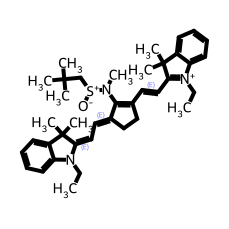 CCN1/C(=C/C=C2\CCC(/C=C/C3=[N+](CC)c4ccccc4C3(C)C)=C2N(C)[S+]([O-])CC(C)(C)C)C(C)(C)c2ccccc21